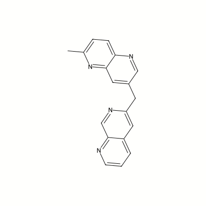 Cc1ccc2ncc(Cc3cc4cccnc4cn3)cc2n1